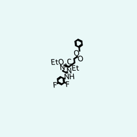 CCOC(=O)C(CC)(CCC(=O)OCc1ccccc1)c1cncc(Nc2ccc(F)cc2F)n1